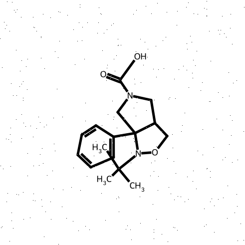 CC(C)(C)N1OCC2CN(C(=O)O)CC21c1ccccc1